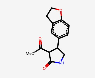 COC(=O)C1C(=O)NCC1c1ccc2c(c1)CCO2